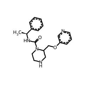 C[C@H](NC(=O)N1CCNCC1COc1cccnc1)c1ccccc1